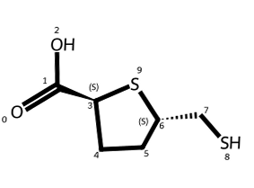 O=C(O)[C@@H]1CC[C@@H](CS)S1